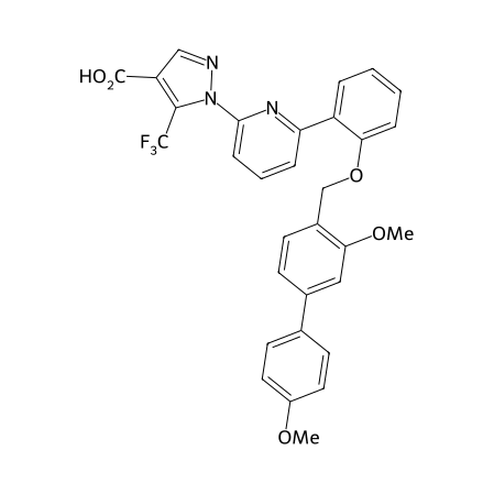 COc1ccc(-c2ccc(COc3ccccc3-c3cccc(-n4ncc(C(=O)O)c4C(F)(F)F)n3)c(OC)c2)cc1